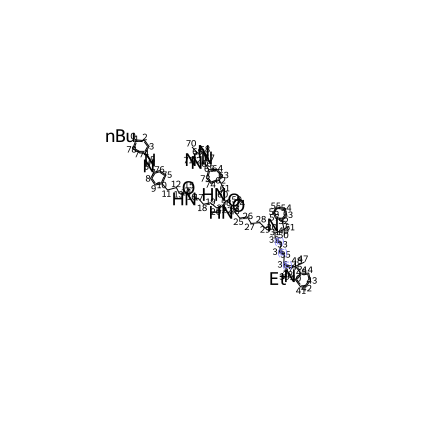 CCCCc1ccc(N=Nc2ccc(CCCC(=O)NCCCCC(NC(=O)CCCCC[N+]3=C(/C=C/C=C/C=C4/N(CC)c5ccccc5C4(C)C)C(C)(C)c4ccccc43)C(=O)NCc3ccc(-c4nnc(C)nn4)cc3)cc2)cc1